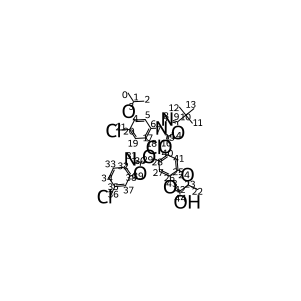 CC(C)Oc1cc(-n2nc(C(C)(C)C)oc2=O)c(Cl)cc1Cl.CC(Oc1ccc(Oc2nc3ccc(Cl)cc3o2)cc1)C(=O)O